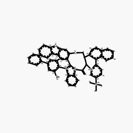 C=C1C2C(CCc3cc4oc5ccccc5c4cc3-c3n(-c4c(C(C)C)cc(-c5ccccc5)cc4C(C)C)c4ccccc4[n+]31)c1ccc3ccccc3c1-c1ccc([Si](C)(C)C)c[n+]12